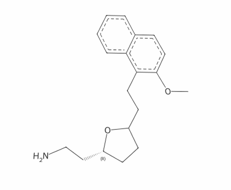 COc1ccc2ccccc2c1CCC1CC[C@H](CCN)O1